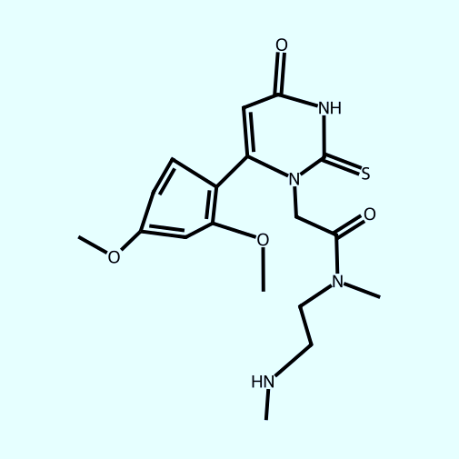 CNCCN(C)C(=O)Cn1c(-c2ccc(OC)cc2OC)cc(=O)[nH]c1=S